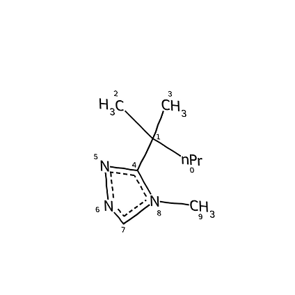 CCCC(C)(C)c1nncn1C